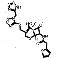 O=C(Cc1cccs1)NC1C(=O)N2C(C(=O)O)=C(CSc3nnnn3Cc3nnn[nH]3)CS[C@@H]12